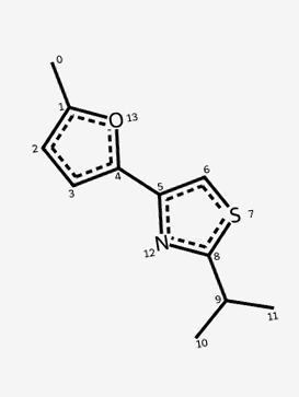 Cc1ccc(-c2csc(C(C)C)n2)o1